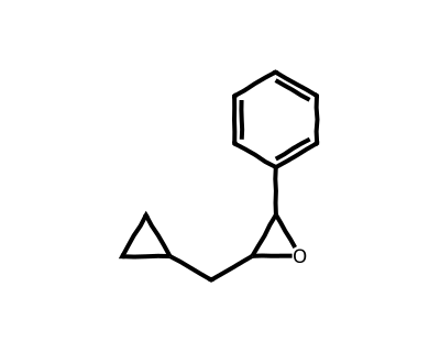 c1ccc(C2OC2CC2CC2)cc1